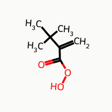 C=C(C(=O)OO)C(C)(C)C